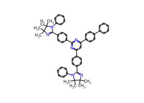 CC1(C)N=C(c2ccc(-c3cc(-c4ccc(-c5ccccc5)cc4)nc(-c4ccc(C5=NC(C)(C)C(C)(C)N5c5ccccc5)cc4)n3)cc2)N(c2ccccc2)C1(C)C